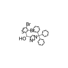 OC(c1cn(C(c2ccccc2)(c2ccccc2)c2ccccc2)cn1)c1scc(Br)c1Br